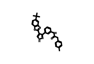 Cc1ccc(CC(=O)Nc2cccc(-c3n[nH]cc3-c3nc4cc(C(C)(C)C)ccc4o3)c2)cc1